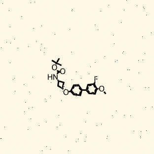 COc1ccc(-c2ccc(OC3CC(NC(=O)OC(C)(C)C)C3)cc2)cc1F